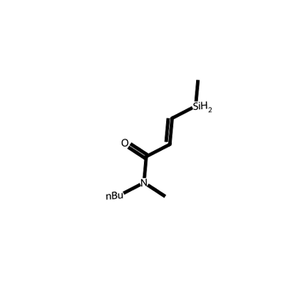 CCCCN(C)C(=O)C=C[SiH2]C